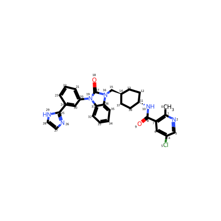 Cc1ncc(Cl)cc1C(=O)N[C@H]1CC[C@H](Cn2c(=O)n(-c3cccc(-c4ncc[nH]4)c3)c3ccccc32)CC1